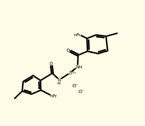 CCCc1cc(C)ccc1C(=O)[NH][Zr+2][NH]C(=O)c1ccc(C)cc1CCC.[Cl-].[Cl-]